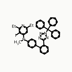 CCc1cc(N(C)c2ccc(-c3ccccc3-c3nnn(C(c4ccccc4)(c4ccccc4)c4ccccc4)n3)cc2)c(I)c(CC)n1